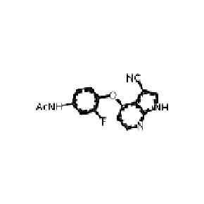 CC(=O)Nc1ccc(Oc2ccnc3[nH]cc(C#N)c23)c(F)c1